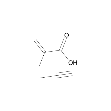 C#CC.C=C(C)C(=O)O